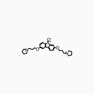 [O-][s+]1c2ccc(OCCCN3CCCC3)cc2c2ccc(OCCCN3CCCC3)cc21